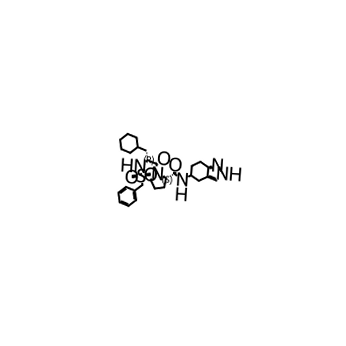 O=C(NC1CCc2n[nH]cc2C1)[C@@H]1CCCN1C(=O)[C@@H](CC1CCCCC1)NS(=O)(=O)Cc1ccccc1